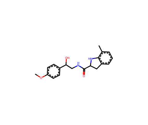 COc1ccc(C(O)CNC(=O)C2Cc3cccc(C)c3N2)cc1